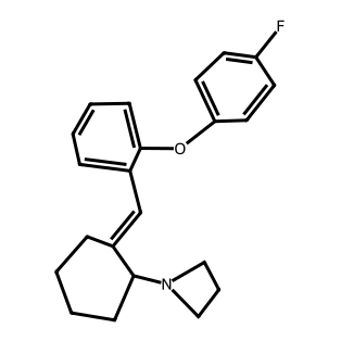 Fc1ccc(Oc2ccccc2C=C2CCCCC2N2CCC2)cc1